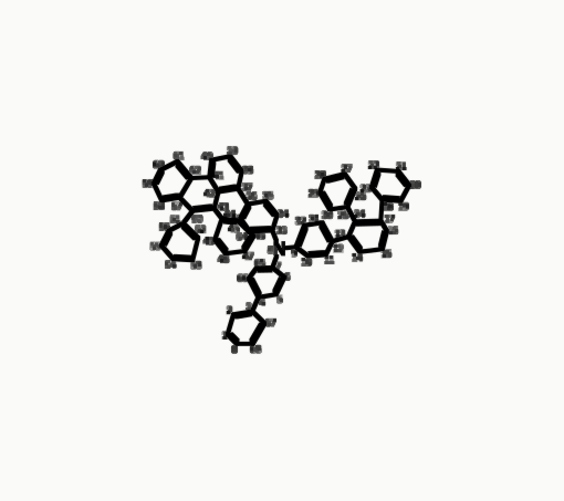 c1ccc(-c2ccc(N(c3ccc(-c4cccc(-c5ccccc5)c4-c4ccccc4)cc3)c3ccc(-c4cccc5c4c(-c4ccccc4)c(-c4ccccc4)c4ccccc45)cc3)cc2)cc1